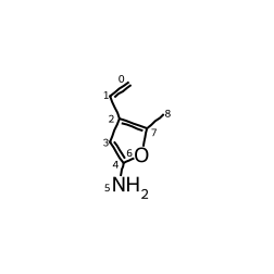 C=Cc1cc(N)oc1C